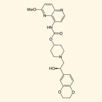 COc1ccc2nccc(NC(=O)OC3CCN(C[C@H](O)c4ccc5c(c4)OCCO5)CC3)c2n1